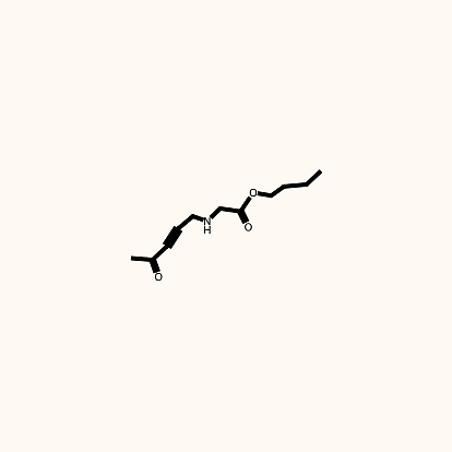 CCCCOC(=O)CNCC#CC(C)=O